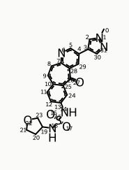 Cn1cc(-c2cnc3ccc4ccc(NS(=O)(=O)NC5CCOC5)cc4c(=O)c3c2)cn1